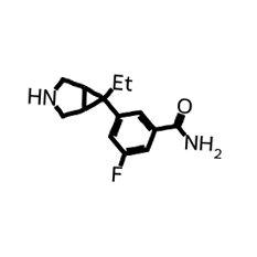 CCC1(c2cc(F)cc(C(N)=O)c2)C2CNCC21